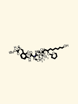 C=N/C(C(=O)Nc1cccc(CN(C)C(=O)OC(C)(C)C)c1O)=C(/N)N(C)S(=O)(=O)C(C)(C)CC(CCCCCCO)OC1CCCCO1